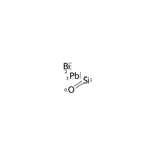 O=[Si].[Bi].[Pb]